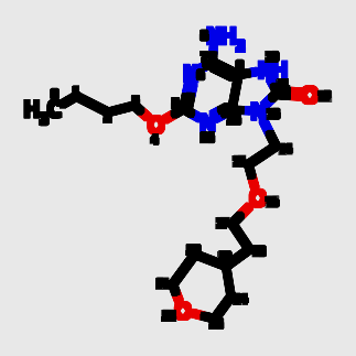 CCCCOc1nc(N)c2[nH]c(=O)n(CCOCCC3CCOCC3)c2n1